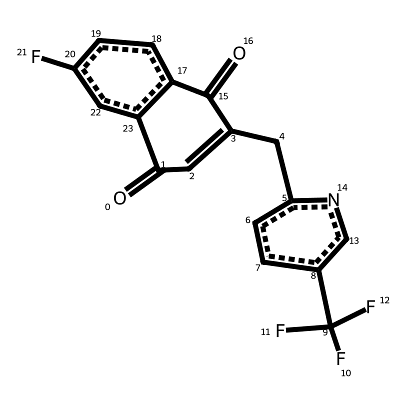 O=C1C=C(Cc2ccc(C(F)(F)F)cn2)C(=O)c2ccc(F)cc21